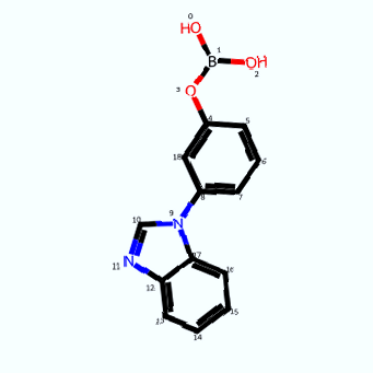 OB(O)Oc1cccc(-n2cnc3ccccc32)c1